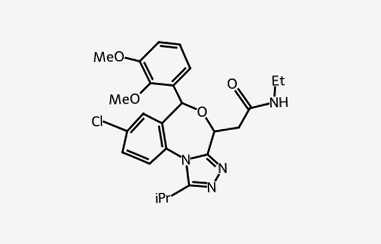 CCNC(=O)CC1OC(c2cccc(OC)c2OC)c2cc(Cl)ccc2-n2c(C(C)C)nnc21